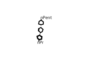 CCCCCC1CCC([C@H]2C=C[C@H](c3ccc(CCC)cc3)CC2)CC1